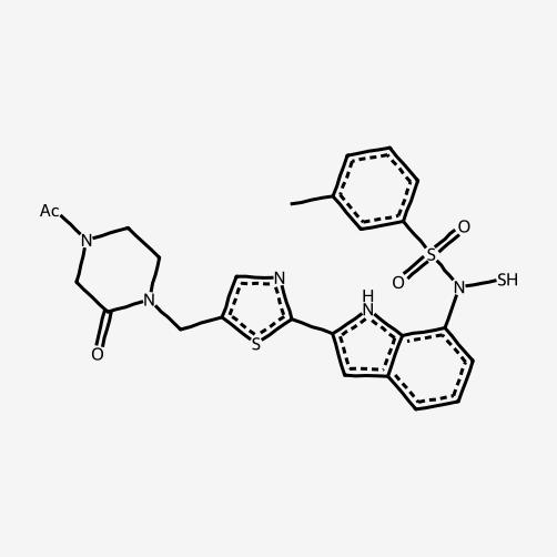 CC(=O)N1CCN(Cc2cnc(-c3cc4cccc(N(S)S(=O)(=O)c5cccc(C)c5)c4[nH]3)s2)C(=O)C1